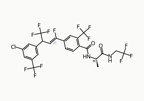 C[C@@H](NC(=O)c1ccc(/C(F)=C/C(c2cc(Cl)cc(C(F)(F)F)c2)C(F)(F)F)cc1C(F)(F)F)C(=O)NCC(F)(F)F